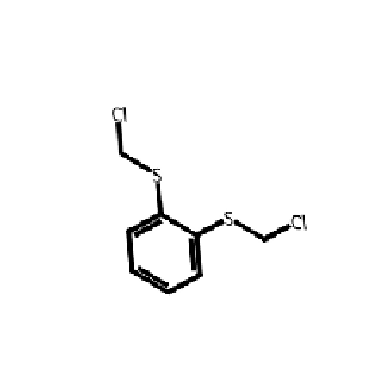 ClCSc1ccccc1SCCl